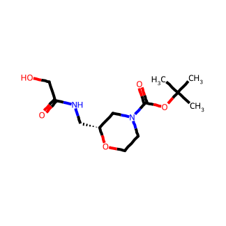 CC(C)(C)OC(=O)N1CCO[C@H](CNC(=O)CO)C1